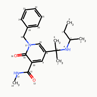 CCC(C)NC(C)(C)c1cc(C(=O)NC)c(=O)n(Cc2ccccc2)c1